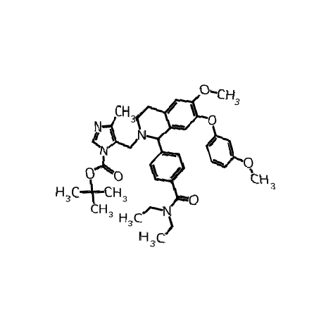 CCN(CC)C(=O)c1ccc(C2c3cc(Oc4cccc(OC)c4)c(OC)cc3CCN2Cc2c(C)ncn2C(=O)OC(C)(C)C)cc1